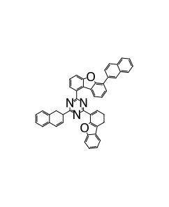 C1=CC(c2nc(C3=CCCc4c3oc3ccccc43)nc(-c3cccc4oc5c(-c6ccc7ccccc7c6)cccc5c34)n2)Cc2ccccc21